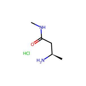 CNC(=O)C[C@@H](C)N.Cl